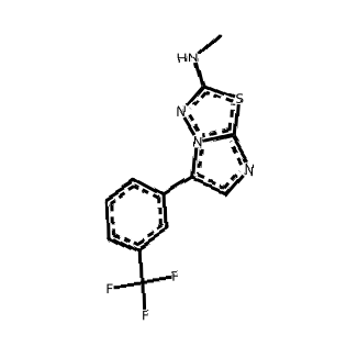 CNc1nn2c(-c3cccc(C(F)(F)F)c3)cnc2s1